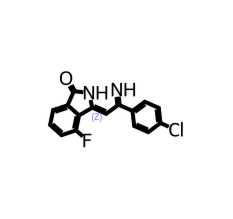 N=C(/C=C1\NC(=O)c2cccc(F)c21)c1ccc(Cl)cc1